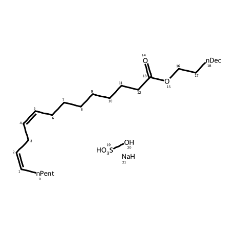 CCCCC/C=C\C/C=C\CCCCCCCC(=O)OCCCCCCCCCCCC.O=S(=O)(O)O.[NaH]